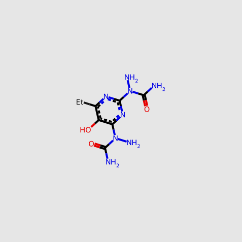 CCc1nc(N(N)C(N)=O)nc(N(N)C(N)=O)c1O